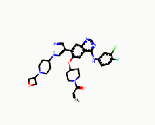 C=CC(=O)N1CCC(Oc2cc3c(Nc4ccc(F)c(Cl)c4)ncnc3cc2/C(C=N)=C/NC2CCN(C3COC3)CC2)CC1